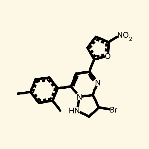 Cc1ccc(C2=CC(c3ccc([N+](=O)[O-])o3)=NC3C(Br)CNN23)c(C)c1